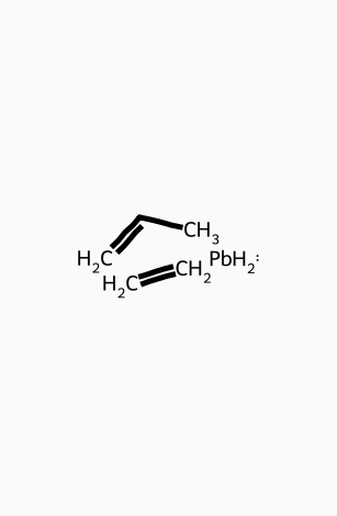 C=C.C=CC.[PbH2]